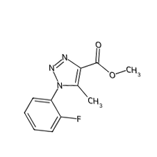 COC(=O)c1nnn(-c2ccccc2F)c1C